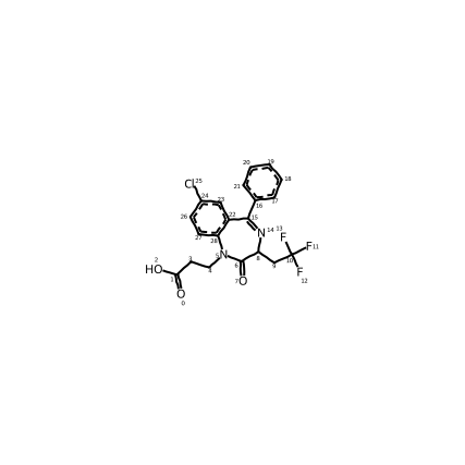 O=C(O)CCN1C(=O)C(CC(F)(F)F)N=C(c2ccccc2)c2cc(Cl)ccc21